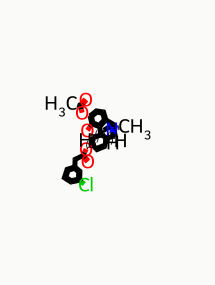 CC(=O)Oc1ccc2c3c1O[C@H]1[C@@H](OC(=O)Cc4cccc(Cl)c4)C=C[C@H]4[C@@H](C2)N(C)CC[C@@]341